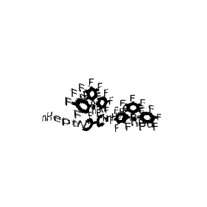 CCCCCCC[n+]1ccc(-c2cc[n+](CCCCCCC)cc2)cc1.CCCC[B-](c1c(F)c(F)c(F)c(F)c1F)(c1c(F)c(F)c(F)c(F)c1F)c1c(F)c(F)c(F)c(F)c1F.CCCC[B-](c1c(F)c(F)c(F)c(F)c1F)(c1c(F)c(F)c(F)c(F)c1F)c1c(F)c(F)c(F)c(F)c1F